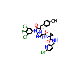 C[C@@H](NC(=O)C1(NC(=O)c2cnc3n2[C@](C)(Cc2ccc(C#N)cc2)C(=O)N3c2cc(Cl)c(F)c(Cl)c2)CC1)c1ccc(Br)nc1